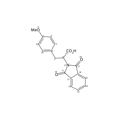 COc1ccc(CC(C(=O)O)N2C(=O)c3ccccc3C2=O)cc1